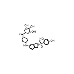 O=C(C1C[C@@H](O)C(O)[C@H](O)C1)N1CCC(Nc2ccc3c(c2)CN(S(=O)(=O)c2ccc(O)cc2O)C3)CC1